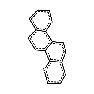 c1cnc2c(c1)ccc1c2ccc2cccnc21